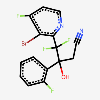 N#CCC(O)(c1ccccc1F)C(F)(F)c1nccc(F)c1Br